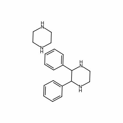 C1CNCCN1.c1ccc(C2NCCNC2c2ccccc2)cc1